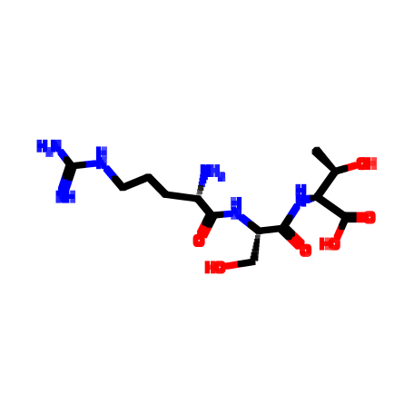 C[C@@H](O)[C@H](NC(=O)[C@H](CO)NC(=O)[C@@H](N)CCCNC(=N)N)C(=O)O